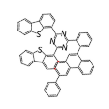 c1ccc(-c2ccc3cc(-c4ccccc4-c4nc(-c5cccc6c5sc5ccccc56)nc(-c5cccc6c5sc5ccccc56)n4)c4ccccc4c3c2)cc1